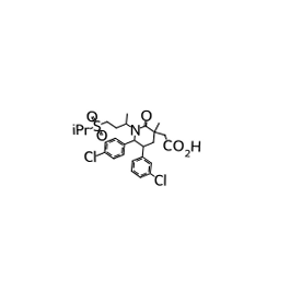 CC(CCS(=O)(=O)C(C)C)N1C(=O)C(C)(CC(=O)O)CC(c2cccc(Cl)c2)C1c1ccc(Cl)cc1